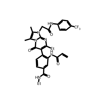 C=CC(=O)Nc1cc(C(=O)NCC)ccc1-c1c(CC)nc2n(CC(=O)Nc3ccc(C(F)(F)F)cc3)c(C)c(C)n2c1=O